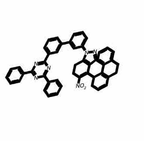 O=[N+]([O-])C1=C(C2CC=CC3=C2c2ccccc2CC3)c2cnn(-c3cccc(-c4cccc(-c5nc(-c6ccccc6)nc(-c6ccccc6)n5)c4)c3)c2CC1